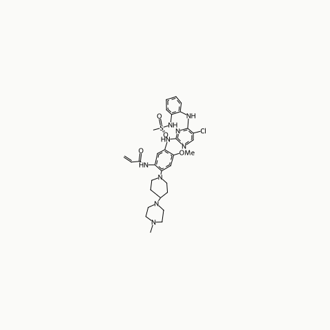 C=CC(=O)Nc1cc(Nc2ncc(Cl)c(Nc3ccccc3NS(C)(=O)=O)n2)c(OC)cc1N1CCC(N2CCN(C)CC2)CC1